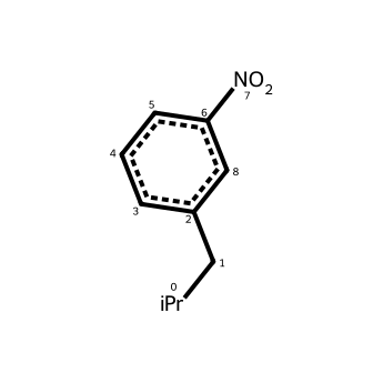 CC(C)Cc1cccc([N+](=O)[O-])c1